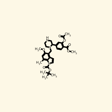 COC(=O)c1ccc(C2CNCCN2Cc2c(OC)cc(C)c3c2ccn3C(=O)OC(C)(C)C)cc1OC(C)=O